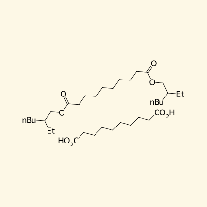 CCCCC(CC)COC(=O)CCCCCCCCC(=O)OCC(CC)CCCC.O=C(O)CCCCCCCCC(=O)O